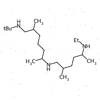 CCNC(C)CCC(C)CNC(C)CCCC(C)CNC(C)(C)C